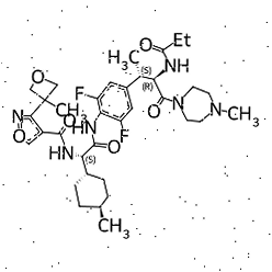 CCC(=O)N[C@@H](C(=O)N1CCN(C)CC1)[C@@H](C)c1cc(F)c(NC(=O)[C@@H](NC(=O)c2conc2C2(C)COC2)[C@H]2CC[C@H](C)CC2)c(F)c1